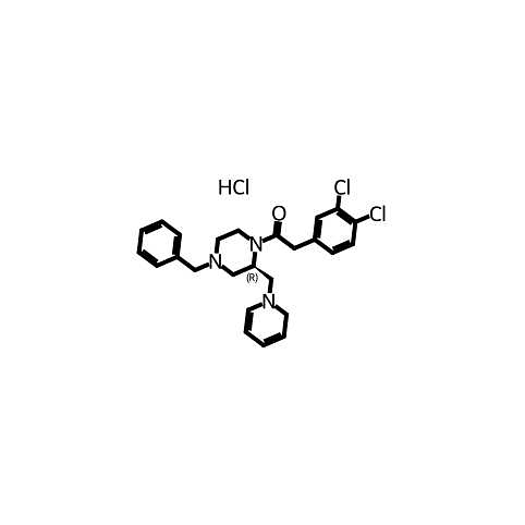 Cl.O=C(Cc1ccc(Cl)c(Cl)c1)N1CCN(Cc2ccccc2)C[C@@H]1CN1C=CC=CC1